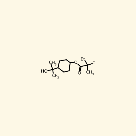 CCC(C)(F)C(=O)OC1CCC(C(C)(O)C(F)(F)F)CC1